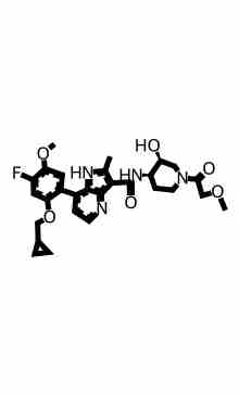 COCC(=O)N1CC[C@@H](NC(=O)c2c(C)[nH]c3c(-c4cc(OC)c(F)cc4OCC4CC4)ccnc23)[C@@H](O)C1